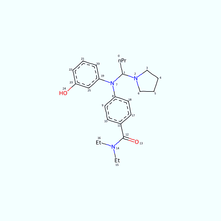 CCCC(N1CCCC1)N(c1ccc(C(=O)N(CC)CC)cc1)c1cccc(O)c1